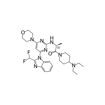 CCN(CC)C1CCN(C(=O)[C@H](C)Nc2nc(N3CCOCC3)cc(-n3c(C(F)F)nc4ccccc43)n2)CC1